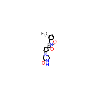 CC(C)[C@]1(C(=O)N2COc3ccc(C(F)(F)F)cc3C2)CC[C@@H](N2CCNC(=O)CC2)C1